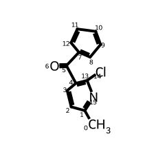 Cc1ccc(C(=O)c2ccccc2)c(Cl)n1